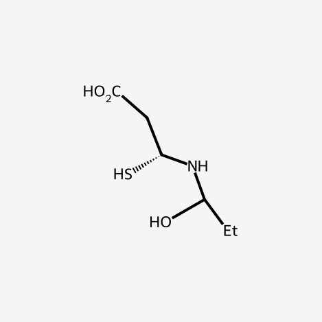 CCC(O)N[C@H](S)CC(=O)O